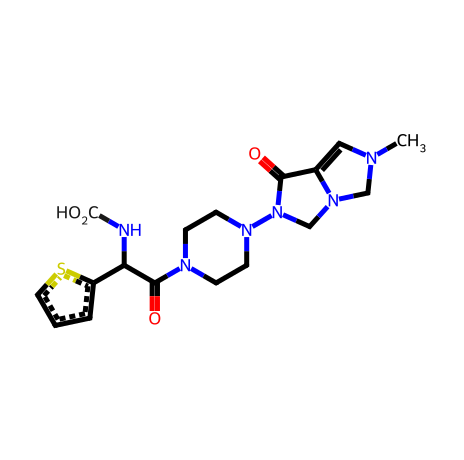 CN1C=C2C(=O)N(N3CCN(C(=O)C(NC(=O)O)c4cccs4)CC3)CN2C1